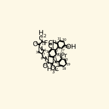 C=C(F)C(=O)N1CC(Cn2c(=O)c(=O)n(-c3c(C)cccc3C(C)C)c3cc(-c4cc(O)ccc4Cl)c(Cl)cc32)C1